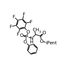 CCC[C@H](C)OC(=O)C(C)N[P@](=O)(Oc1ccccc1)Oc1c(F)c(F)c(F)c(F)c1F